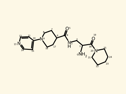 NC(CNC(=O)C1CCN(c2ccncc2)CC1)C(=O)N1CCCCC1